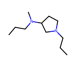 CCCN1CCC(N(C)CCC)C1